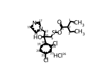 CCC(CC)C(=O)OSCC(O)(Cn1ccnc1)c1ccc(Cl)cc1Cl.Cl